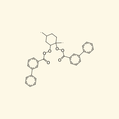 [CH2]C1CCC([CH2])(OOC(=O)c2cccc(-c3ccccc3)c2)C(OOC(=O)c2cccc(-c3ccccc3)c2)C1